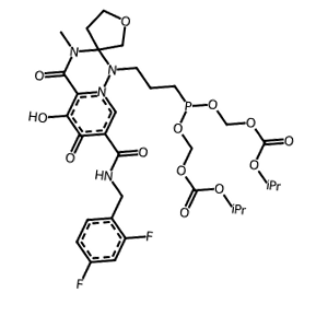 CC(C)OC(=O)OCOP(CCCN1n2cc(C(=O)NCc3ccc(F)cc3F)c(=O)c(O)c2C(=O)N(C)C12CCOC2)OCOC(=O)OC(C)C